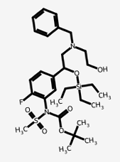 CC[Si](CC)(CC)OC(CN(CCO)Cc1ccccc1)c1ccc(F)c(N(C(=O)OC(C)(C)C)S(C)(=O)=O)c1